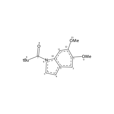 COc1cc2ccn(C(=O)C(C)(C)C)c2cc1OC